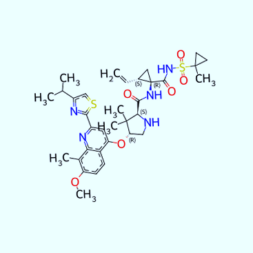 C=C[C@@H]1C[C@]1(NC(=O)[C@H]1NC[C@H](Oc2cc(-c3nc(C(C)C)cs3)nc3c(C)c(OC)ccc23)C1(C)C)C(=O)NS(=O)(=O)C1(C)CC1